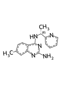 Cc1ccc2c(N[C@H](C)c3ccccn3)nc(N)nc2c1